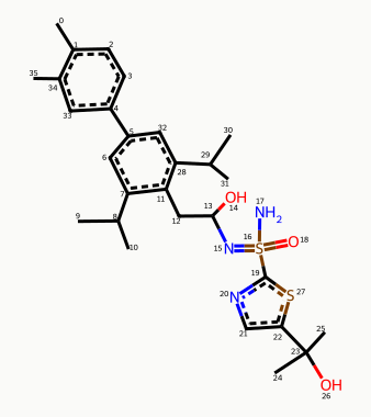 Cc1ccc(-c2cc(C(C)C)c(CC(O)N=S(N)(=O)c3ncc(C(C)(C)O)s3)c(C(C)C)c2)cc1C